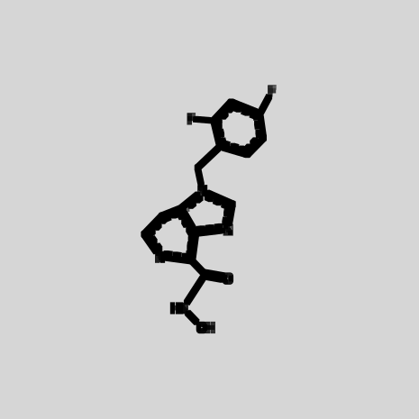 O=C(NO)c1nccc2c1ncn2Cc1ccc(F)cc1F